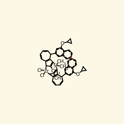 CC1=C2C3=C(C=CC=CC3c3cc(OC4CC4)c4ccccc4c3)[CH]1[Zr]([Cl])([Cl])[CH]1C(C)=C(C3=C1C=CC=CC3c1cc(OC3CC3)c3ccccc3c1)[Si]2(C)C